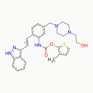 Cc1ccsc1OC(=O)Nc1cc(CN2CCN(CCO)CC2)ccc1/C=C/c1n[nH]c2ccccc12